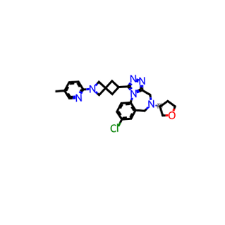 Cc1ccc(N2CC3(CC(c4nnc5n4-c4ccc(Cl)cc4CN([C@@H]4CCOC4)C5)C3)C2)nc1